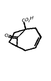 O=C(O)C12CC=CCC(CC1)C2=O